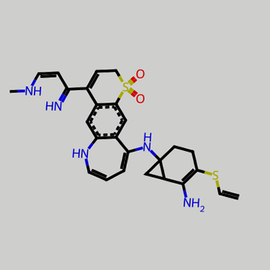 C=CSC1=C(N)C2CC2(NC2=CC=CNc3cc4c(cc32)S(=O)(=O)CC=C4C(=N)/C=C\NC)CC1